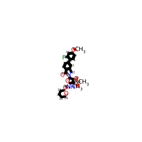 COc1ccc(-c2ccc3c(c2)CN(CC[C@](C)(C(=O)NOC2CCCCO2)S(C)(=O)=O)C3=O)c(F)c1